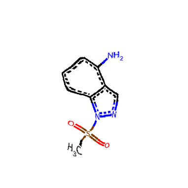 CS(=O)(=O)n1ncc2c(N)cccc21